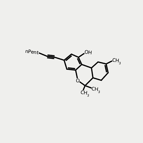 CCCCCC#Cc1cc(O)c2c(c1)OC(C)(C)C1CC=C(C)CC21